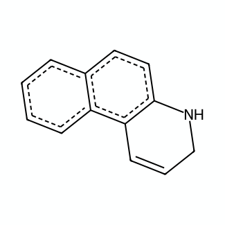 C1=Cc2c(ccc3ccccc23)NC1